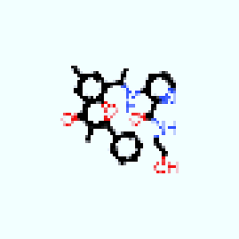 Cc1cc(C(C)Nc2cccnc2C(=O)NCCO)c2oc(-c3ccccc3)c(C)c(=O)c2c1